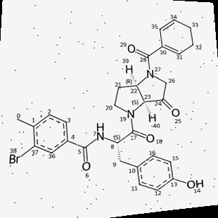 Cc1ccc(C(=O)N[C@@H](Cc2ccc(O)cc2)C(=O)N2CC[C@@H]3[C@H]2C(=O)CN3C(=O)C2=CCCC=C2)cc1Br